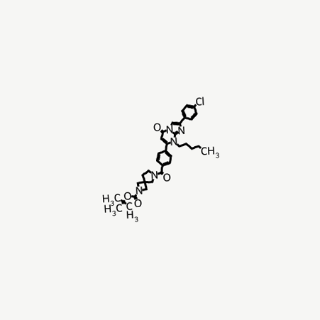 CCCCCn1c(-c2ccc(C(=O)N3CCC4(CN(C(=O)OC(C)(C)C)C4)C3)cc2)cc(=O)n2cc(-c3ccc(Cl)cc3)nc12